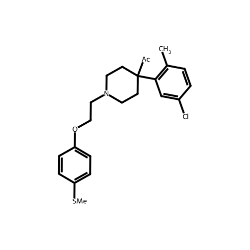 CSc1ccc(OCCN2CCC(C(C)=O)(c3cc(Cl)ccc3C)CC2)cc1